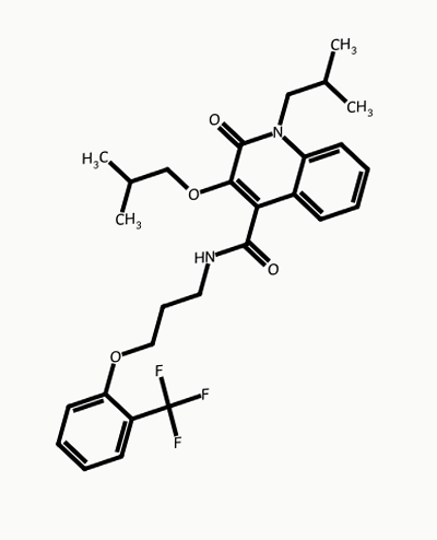 CC(C)COc1c(C(=O)NCCCOc2ccccc2C(F)(F)F)c2ccccc2n(CC(C)C)c1=O